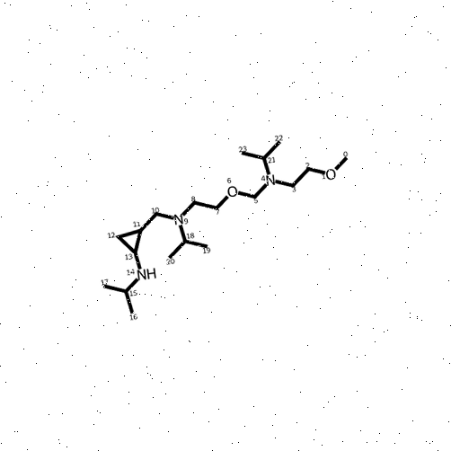 COCCN(COCCN(CC1CC1NC(C)C)C(C)C)C(C)C